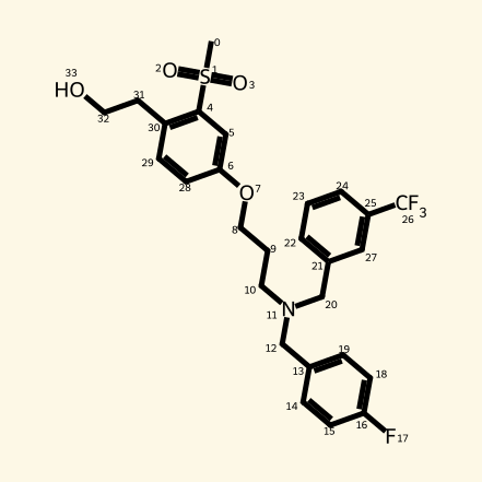 CS(=O)(=O)c1cc(OCCCN(Cc2ccc(F)cc2)Cc2cccc(C(F)(F)F)c2)ccc1CCO